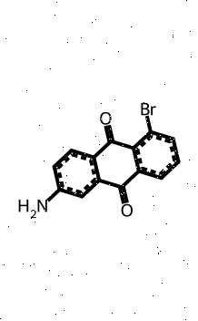 Nc1ccc2c(c1)C(=O)c1cccc(Br)c1C2=O